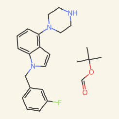 CC(C)(C)OC=O.Fc1cccc(Cn2ccc3c(N4CCNCC4)cccc32)c1